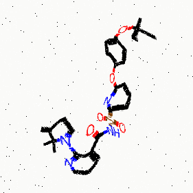 CC1CCN(c2ncccc2C(=O)NS(=O)(=O)c2cccc(Oc3ccc(OC(C)(C)C)cc3)n2)C1(C)C